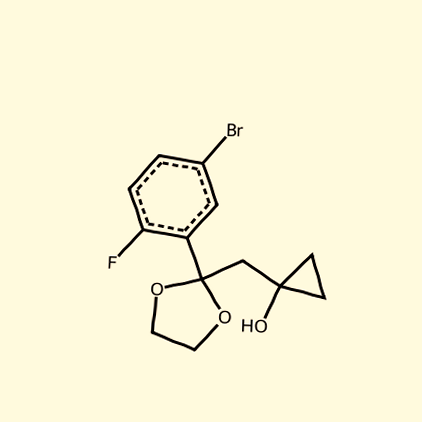 OC1(CC2(c3cc(Br)ccc3F)OCCO2)CC1